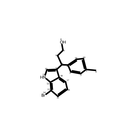 Cc1ccc(C(CCO)c2c[nH]c3c(Br)cccc23)cc1